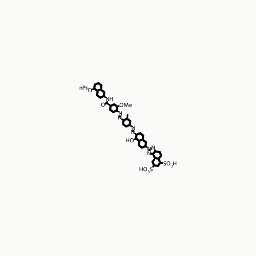 CCCOc1cccc2cc(NC(=O)c3ccc(N=Nc4ccc(N=Nc5ccc6cc(-n7nc8ccc9c(S(=O)(=O)O)cc(S(=O)(=O)O)cc9c8n7)ccc6c5O)cc4C)c(OC)c3)ccc12